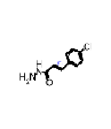 NNC(=O)/C=C/c1ccc(Cl)cc1